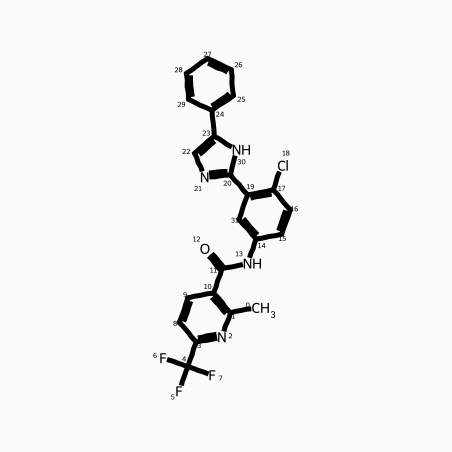 Cc1nc(C(F)(F)F)ccc1C(=O)Nc1ccc(Cl)c(-c2ncc(-c3ccccc3)[nH]2)c1